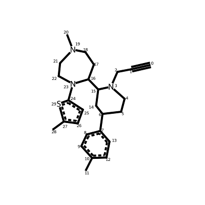 C#CCN1CCC(c2ccc(C)cc2)CC1C1CCN(C)CCN1c1ccc(C)s1